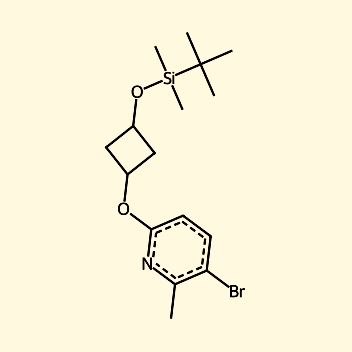 Cc1nc(OC2CC(O[Si](C)(C)C(C)(C)C)C2)ccc1Br